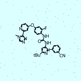 Cn1cnnc1-c1cc(Oc2ccc(NC(=O)Nc3cc(C(C)(C)C)nn3-c3cccc(C#N)c3)c(F)c2)ccn1